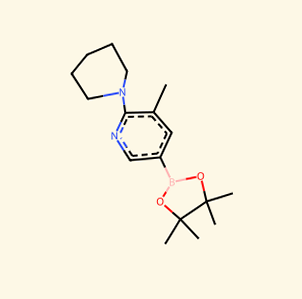 Cc1cc(B2OC(C)(C)C(C)(C)O2)cnc1N1CCCCC1